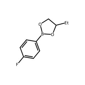 CCC1COB(c2ccc(F)cc2)O1